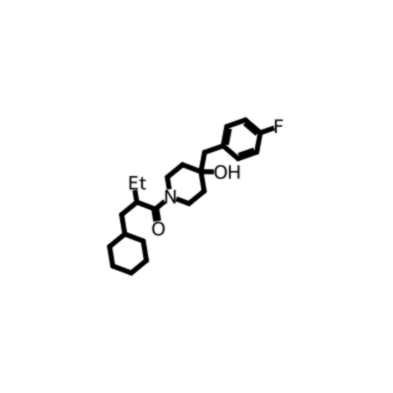 CCC(CC1CCCCC1)C(=O)N1CCC(O)(Cc2ccc(F)cc2)CC1